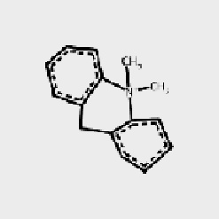 C[N+]1(C)c2ccccc2Cc2ccccc21